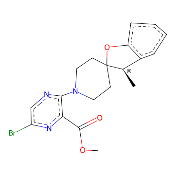 COC(=O)c1nc(Br)cnc1N1CCC2(CC1)Oc1ccccc1[C@H]2C